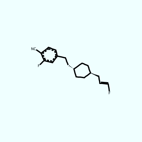 N#Cc1ccc(CC[C@H]2CC[C@H](C/C=C/F)CC2)cc1F